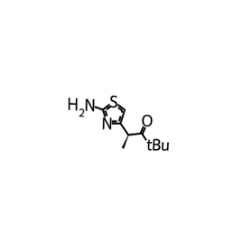 C[C@H](C(=O)C(C)(C)C)c1csc(N)n1